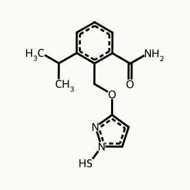 CC(C)c1cccc(C(N)=O)c1COc1ccn(S)n1